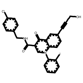 O=C(NCc1ccc(Cl)cc1)c1cn(-c2ccccc2I)c2ccc(C#CCO)cc2c1=O